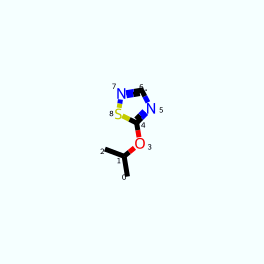 CC(C)Oc1n[c]ns1